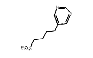 CCOC(=O)CCCCc1cncnc1